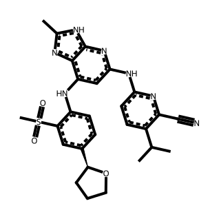 Cc1nc2c(Nc3ccc([C@@H]4CCCO4)cc3S(C)(=O)=O)cc(Nc3ccc(C(C)C)c(C#N)n3)nc2[nH]1